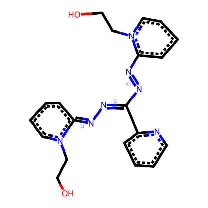 OCCn1cccc\c1=N/N=C(/N=N/c1cccc[n+]1CCO)c1ccccn1